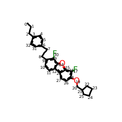 CCCc1ccc(CCc2ccc3c(oc4c(F)c(OCC5CCCC5)ccc43)c2F)cc1